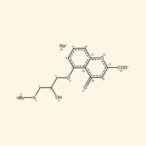 CCCCSCC(O)COc1cccc2oc(C(=O)[O-])cc(=O)c12.[Na+]